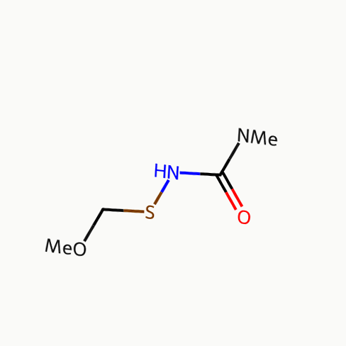 CNC(=O)NSCOC